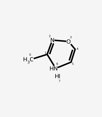 CC1=NOC=CN1.I